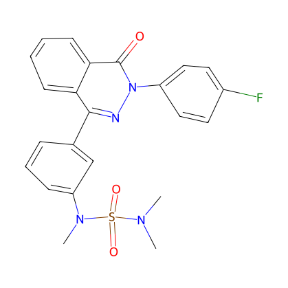 CN(C)S(=O)(=O)N(C)c1cccc(-c2nn(-c3ccc(F)cc3)c(=O)c3ccccc23)c1